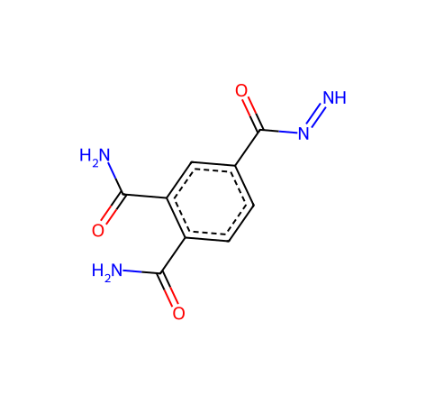 N=NC(=O)c1ccc(C(N)=O)c(C(N)=O)c1